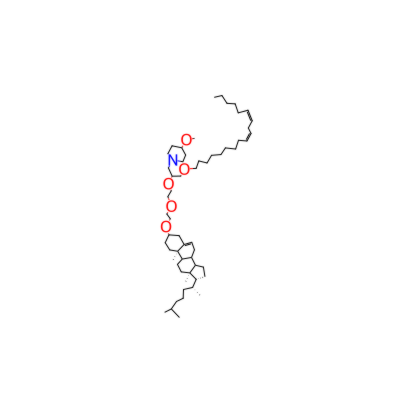 CCCCC/C=C\C/C=C\CCCCCCCCOCC(CN1CCC(OC)CC1)OCCOCCO[C@H]1CC[C@@]2(C)C(=CCC3C2CC[C@@]2(C)C3CC[C@@H]2[C@H](C)CCCC(C)C)C1